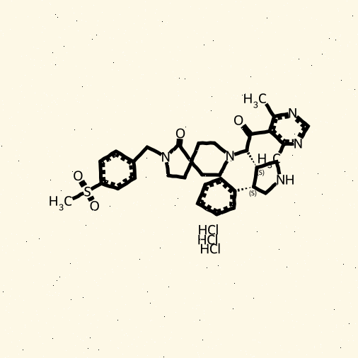 Cc1ncnc(C)c1C(=O)C([C@@H]1CNC[C@@H]1c1ccccc1)N1CCC2(CCN(Cc3ccc(S(C)(=O)=O)cc3)C2=O)CC1.Cl.Cl.Cl